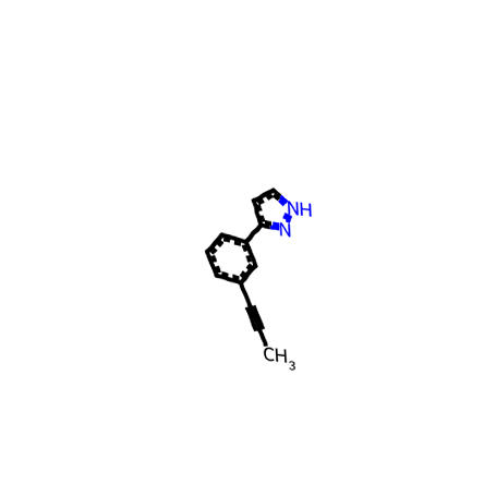 CC#Cc1cccc(-c2cc[nH]n2)c1